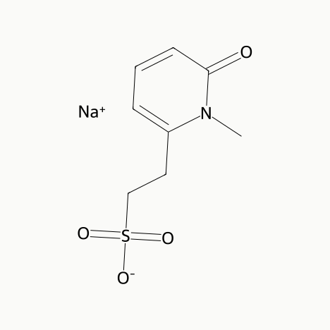 Cn1c(CCS(=O)(=O)[O-])cccc1=O.[Na+]